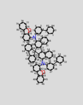 c1ccc(-c2cccc(N(c3cc4c(c5ccccc35)-c3c(cc(N(c5cccc(-c6ccccc6)c5)c5cccc6c5oc5ccccc56)c5ccccc35)C43c4ccccc4-c4ccccc43)c3cccc4c3oc3ccccc34)c2)cc1